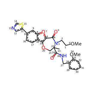 COCCN1C(=O)c2oc3cc(-c4cncs4)ccc3c2OCC1(C)C(=O)NCc1ccccc1OC